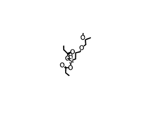 CCC(=O)O[SiH](CCCOCC(C)OC)OC(=O)CC